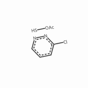 CC(=O)OS.Clc1cccnn1